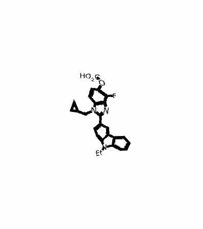 CCn1c2ccccc2c2cc(-c3nc4c(F)c(OC(=O)O)ccc4n3CC3CC3)ccc21